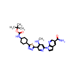 CNc1cc(-n2ccc3cc(C(N)=O)cnc32)ncc1-c1nnc(C2CCC(NC(=O)OC(C)(C)C)CC2)s1